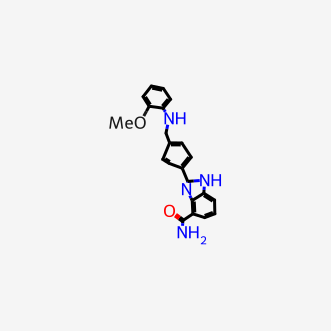 COc1ccccc1NCc1ccc(-c2nc3c(C(N)=O)cccc3[nH]2)cc1